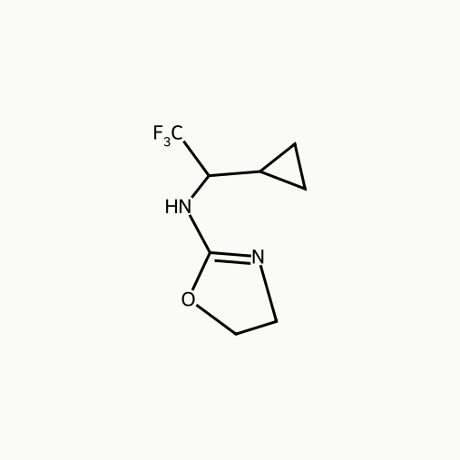 FC(F)(F)C(NC1=NCCO1)C1CC1